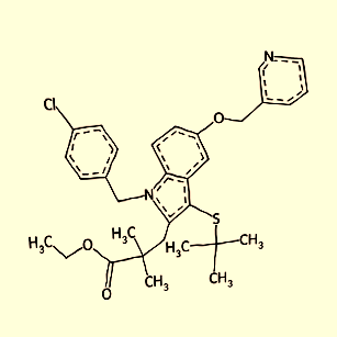 CCOC(=O)C(C)(C)Cc1c(SC(C)(C)C)c2cc(OCc3cccnc3)ccc2n1Cc1ccc(Cl)cc1